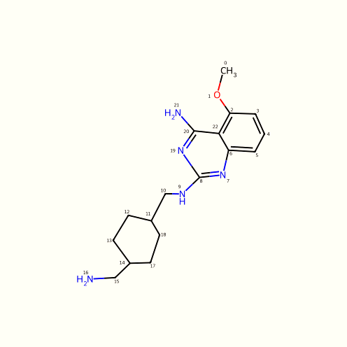 COc1cccc2nc(NCC3CCC(CN)CC3)nc(N)c12